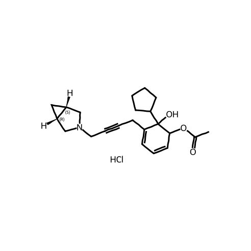 CC(=O)OC1C=CC=C(CC#CCN2C[C@H]3C[C@H]3C2)C1(O)C1CCCC1.Cl